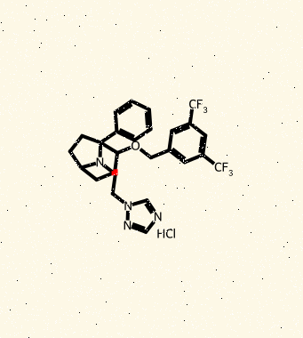 Cl.FC(F)(F)c1cc(COC2CCC3CCC2(c2ccccc2)N3CCn2cncn2)cc(C(F)(F)F)c1